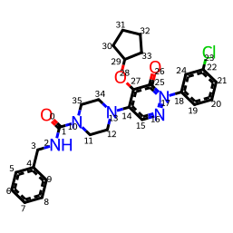 O=C(NCc1ccccc1)N1CCN(c2cnn(-c3cccc(Cl)c3)c(=O)c2OC2CCCC2)CC1